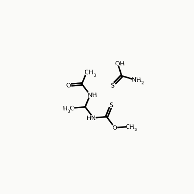 COC(=S)NC(C)NC(C)=O.NC(O)=S